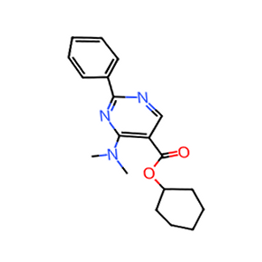 CN(C)c1nc(-c2ccccc2)ncc1C(=O)OC1CCCCC1